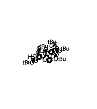 CC(C)(C)OC(=O)Oc1cc([C@H]2Oc3ccccc3C[C@H]2OC(=O)c2cc(OC(=O)OC(C)(C)C)c(OC(=O)OC(C)(C)C)c(OC(=O)OC(C)(C)C)c2)cc(OC(=O)OC(C)(C)C)c1O